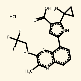 Cc1nc2cccc(-c3cc(C(=O)O)c(C4(N)CC4)[nH]3)c2nc1NCC(F)(F)F.Cl